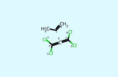 C=CC.ClC(Cl)=C=C(Cl)Cl